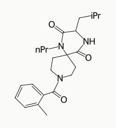 CCCN1C(=O)C(CC(C)C)NC(=O)C12CCN(C(=O)c1ccccc1C)CC2